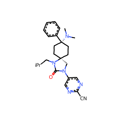 CC(C)CN1C(=O)N(c2cnc(C#N)nc2)C[C@]12CC[C@@](c1ccccc1)(N(C)C)CC2